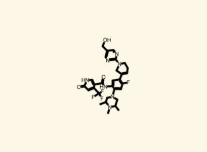 CC1CN(c2cc(F)c(C3=CCCN(c4ncc(CO)cn4)C3)cc2NC(=O)c2c[nH]c(=O)cc2C(F)(F)F)CC(C)N1C